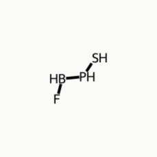 FBPS